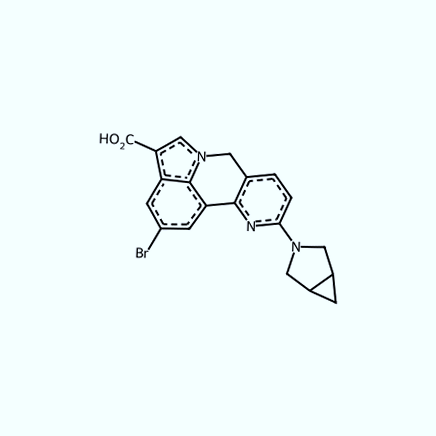 O=C(O)c1cn2c3c(cc(Br)cc13)-c1nc(N3CC4CC4C3)ccc1C2